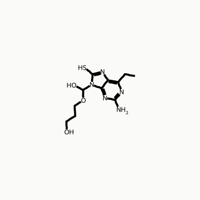 CCc1nc(N)nc2c1nc(S)n2C(O)OCCCO